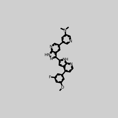 COc1cc(F)cc(-c2ccnc3[nH]c(-c4n[nH]c5ncc(-c6cncc(N(C)C)c6)cc45)cc23)c1